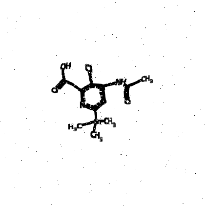 CC(=O)Nc1c[c]([Sn]([CH3])([CH3])[CH3])nc(C(=O)O)c1Cl